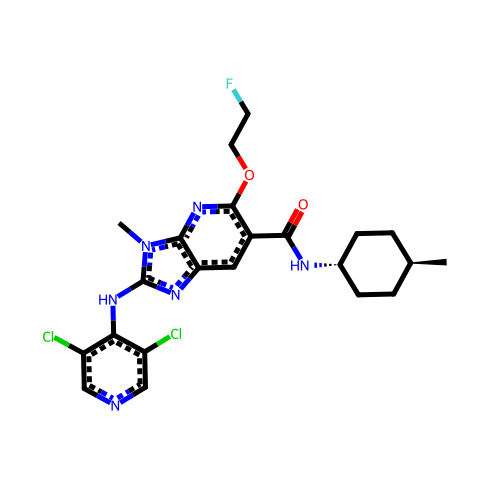 Cn1c(Nc2c(Cl)cncc2Cl)nc2cc(C(=O)N[C@H]3CC[C@H](C)CC3)c(OCCF)nc21